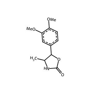 COc1ccc(C2OC(=O)NC2C)cc1OC